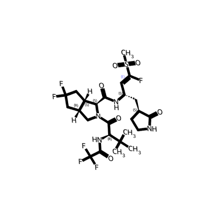 CC(C)(C)[C@@H](NC(=O)C(F)(F)F)C(=O)N1C[C@@H]2CC(F)(F)C[C@@H]2[C@H]1C(=O)N[C@H](/C=C(\F)S(C)(=O)=O)C[C@@H]1CCNC1=O